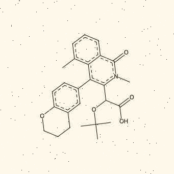 Cc1cccc2c(=O)n(C)c(C(OC(C)(C)C)C(=O)O)c(-c3ccc4c(c3)CCCO4)c12